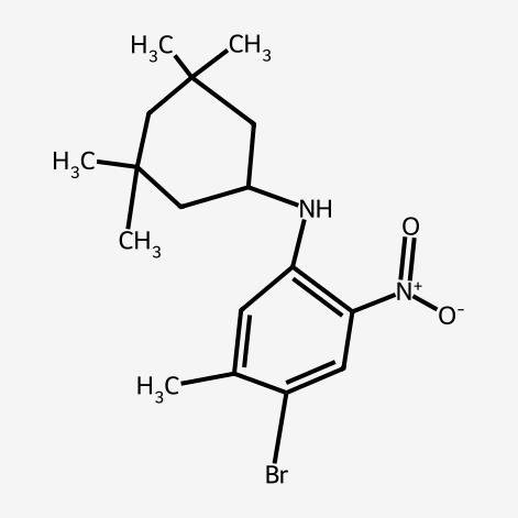 Cc1cc(NC2CC(C)(C)CC(C)(C)C2)c([N+](=O)[O-])cc1Br